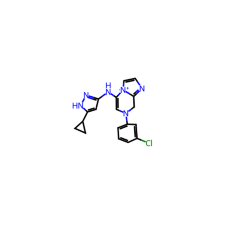 Clc1cccc(N2C=C(Nc3cc(C4CC4)[nH]n3)[N+]3C=CN=C3C2)c1